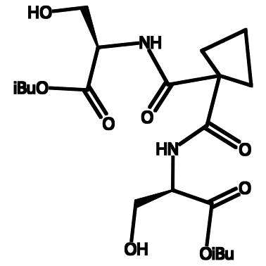 CC(C)COC(=O)[C@@H](CO)NC(=O)C1(C(=O)N[C@H](CO)C(=O)OCC(C)C)CCC1